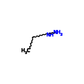 CCCCCCCC/C=C\CCCCCCCCNCCCCN